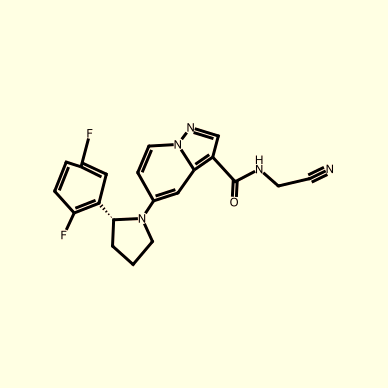 N#CCNC(=O)c1cnn2ccc(N3CCC[C@@H]3c3cc(F)ccc3F)cc12